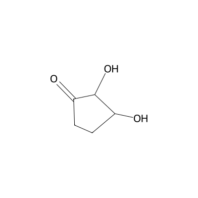 O=C1CCC(O)C1O